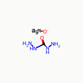 NNC(=O)NN.O=[N+]([O-])[O-].[Ag+]